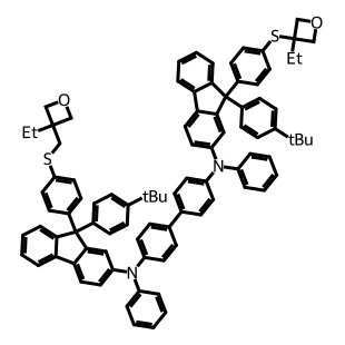 CCC1(CSc2ccc(C3(c4ccc(C(C)(C)C)cc4)c4ccccc4-c4ccc(N(c5ccccc5)c5ccc(-c6ccc(N(c7ccccc7)c7ccc8c(c7)C(c7ccc(SC9(CC)COC9)cc7)(c7ccc(C(C)(C)C)cc7)c7ccccc7-8)cc6)cc5)cc43)cc2)COC1